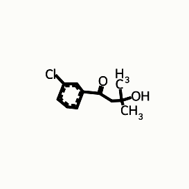 CC(C)(O)CC(=O)c1cccc(Cl)c1